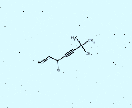 [CH]=CC(O)C#CC(C)(C)C